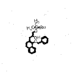 CC(C)(C)[Si](C)(C)OCC(O)Cc1ccc2ccccc2c1OCc1ccccc1